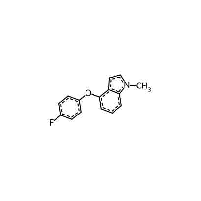 Cn1ccc2c(Oc3ccc(F)cc3)cccc21